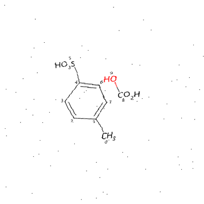 Cc1ccc(S(=O)(=O)O)cc1.O=C(O)O